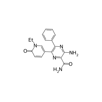 CCn1cc(-c2nc(C(N)=O)c(N)nc2-c2ccccc2)ccc1=O